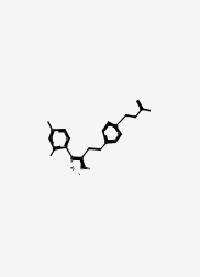 C=C(C)CCc1ccc(CCc2c(Cl)nsc2-c2ccc(C)cc2C)cc1